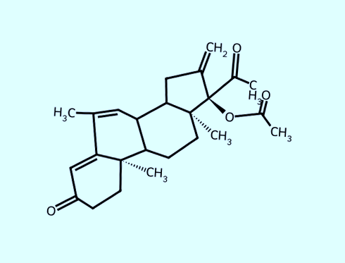 C=C1CC2C3C=C(C)C4=CC(=O)CC[C@]4(C)C3CC[C@]2(C)[C@@]1(OC(C)=O)C(C)=O